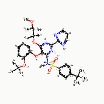 [2H]OC([2H])([2H])C([2H])([2H])Oc1nc(-c2ncccn2)nc(N([2H])S(=O)(=O)c2ccc(C(C)(C)C)cc2)c1Oc1ccccc1OC([2H])([2H])[2H]